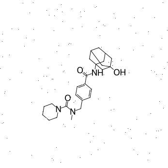 CN(Cc1ccc(C(=O)NC23CC4CC(CC(O)(C4)C2)C3)cc1)C(=O)N1CCCCC1